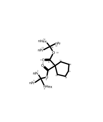 CCCCCCC(CCC)(CCC)OC(=O)C1(C(=O)OC(CCC)(CCC)CCCCCC)CCCCC1